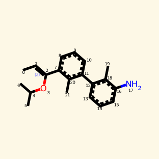 C/C=C(\OC(C)C)c1cccc(-c2cccc(N)c2C)c1C